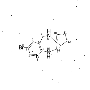 Brc1cnc2c(c1)CNC1(CCCC1)CN2